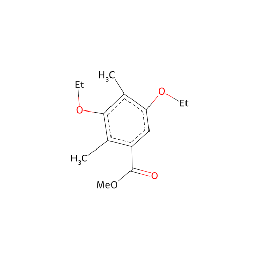 CCOc1cc(C(=O)OC)c(C)c(OCC)c1C